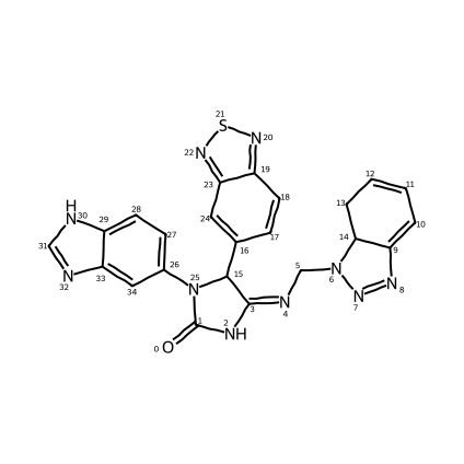 O=C1N/C(=N/CN2N=NC3=CC=CCC32)C(c2ccc3nsnc3c2)N1c1ccc2[nH]cnc2c1